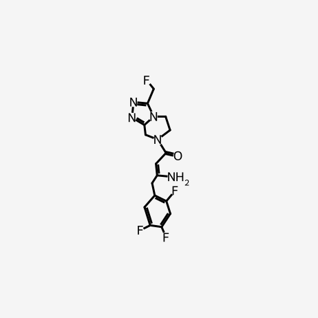 N/C(=C\C(=O)N1CCn2c(CF)nnc2C1)Cc1cc(F)c(F)cc1F